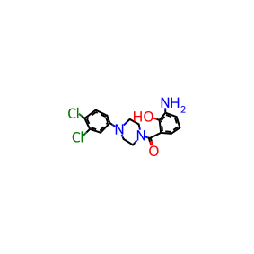 Nc1cccc(C(=O)N2CCN(c3ccc(Cl)c(Cl)c3)CC2)c1O